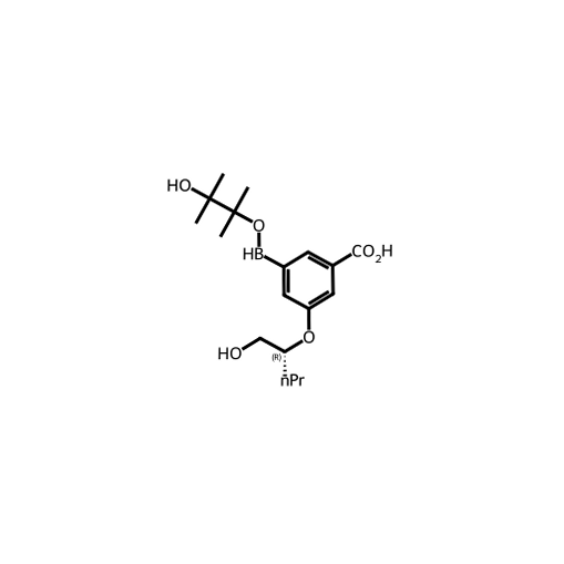 CCC[C@H](CO)Oc1cc(BOC(C)(C)C(C)(C)O)cc(C(=O)O)c1